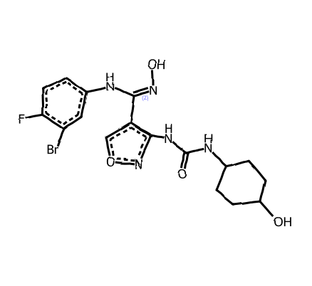 O=C(Nc1nocc1/C(=N/O)Nc1ccc(F)c(Br)c1)NC1CCC(O)CC1